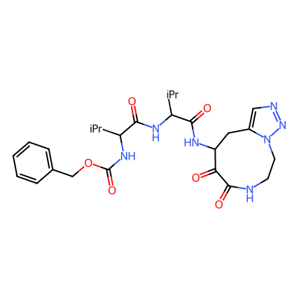 CC(C)C(NC(=O)OCc1ccccc1)C(=O)NC(C(=O)NC1Cc2cnnn2CCNC(=O)C1=O)C(C)C